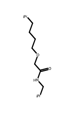 CC(C)CCCCOCC(=O)NCC(C)C